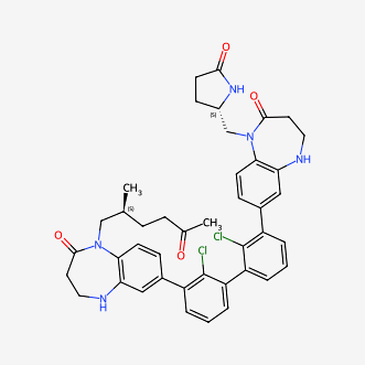 CC(=O)CC[C@H](C)CN1C(=O)CCNc2cc(-c3cccc(-c4cccc(-c5ccc6c(c5)NCCC(=O)N6C[C@@H]5CCC(=O)N5)c4Cl)c3Cl)ccc21